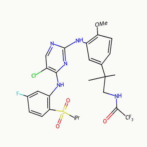 COc1ccc(C(C)(C)CNC(=O)C(F)(F)F)cc1Nc1ncc(Cl)c(Nc2cc(F)ccc2S(=O)(=O)C(C)C)n1